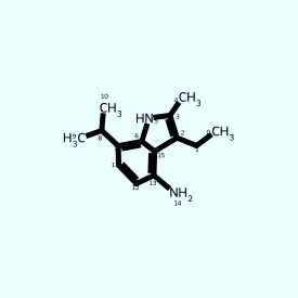 CCc1c(C)[nH]c2c(C(C)C)ccc(N)c12